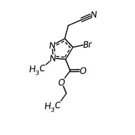 CCOC(=O)c1c(Br)c(CC#N)nn1C